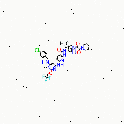 CC(C)(CNC(=O)C(=O)N1CCCCC1)CNC(=O)c1ccc(Nc2cc(NCc3ccc(Cl)cc3)nc(OCC(F)(F)F)n2)nc1